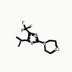 CC(C)c1sc(N2CCOCC2)nc1C(F)(F)F